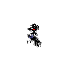 CCOC(CO/N=C\C(=O)NC1C(=O)N2C(OC(=O)O)=C(COC)CS[C@@H]12)c1csc(NC(c2ccccc2)(c2ccccc2)c2ccccc2)n1